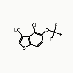 [CH2]c1csc2ccc(OC(F)(F)F)c(Cl)c12